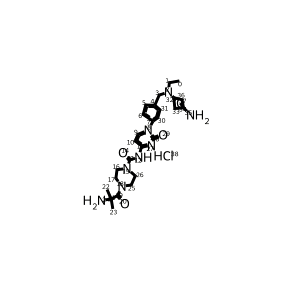 CCN(Cc1ccc(-n2ccc(NC(=O)N3CCN(C(=O)C(C)(C)N)CC3)nc2=O)cc1)C12CC(N)(C1)C2.Cl